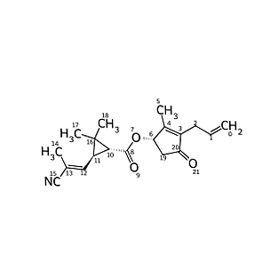 C=CCC1=C(C)[C@@H](OC(=O)[C@@H]2[C@@H](C=C(C)C#N)C2(C)C)CC1=O